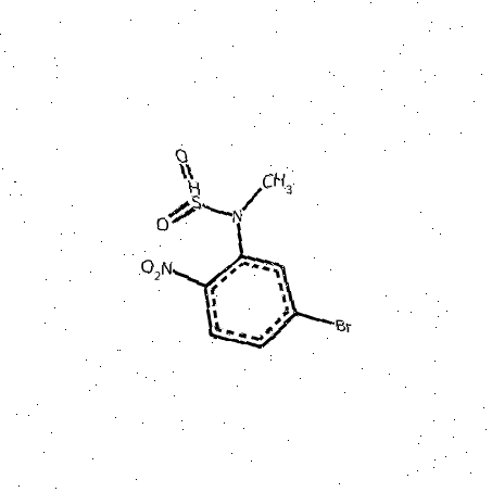 CN(c1cc(Br)ccc1[N+](=O)[O-])[SH](=O)=O